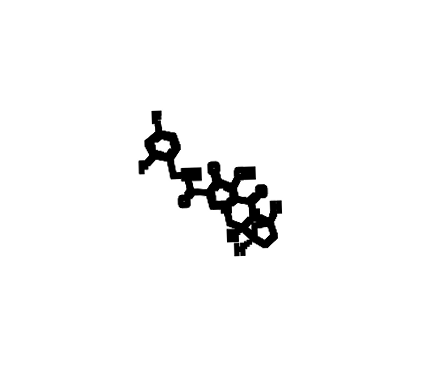 O=C(NCc1ccc(F)cc1F)c1cn2c(c(O)c1=O)C(=O)N1[C@@H]3CC[C@H](C3)[C@H]1C2